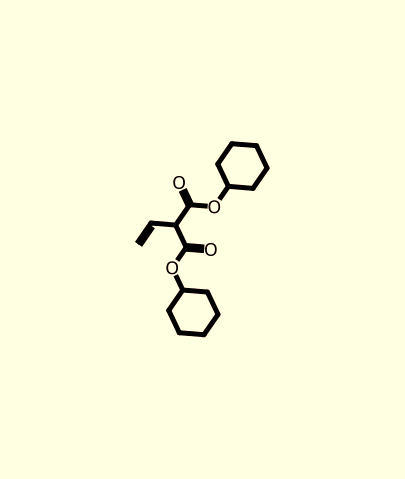 C=CC(C(=O)OC1CCCCC1)C(=O)OC1CCCCC1